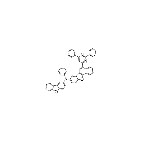 c1ccc(-c2cc(-c3cc4c5cc(N(c6ccccc6)c6ccc7oc8ccccc8c7c6)ccc5oc4c4ccccc34)nc(-c3ccccc3)n2)cc1